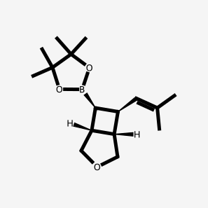 CC(C)=C[C@H]1[C@@H]2COC[C@@H]2[C@H]1B1OC(C)(C)C(C)(C)O1